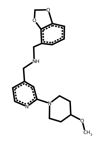 COC1CCN(c2cc(CNCc3cccc4c3OCO4)ccn2)CC1